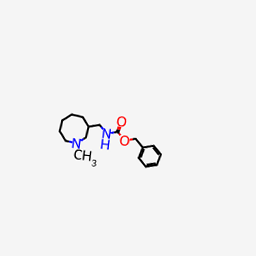 CN1CCCCCC(CNC(=O)OCc2ccccc2)C1